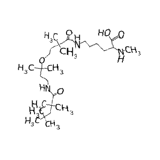 CNC(CCCCNC(=O)C(C)(C)CCOC(C)(C)CCNC(=O)C(C)(C)CC(C)(C)C)C(=O)O